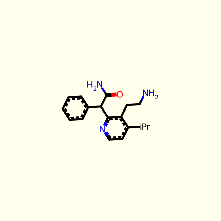 CC(C)c1ccnc(C(C(N)=O)c2ccccc2)c1CCN